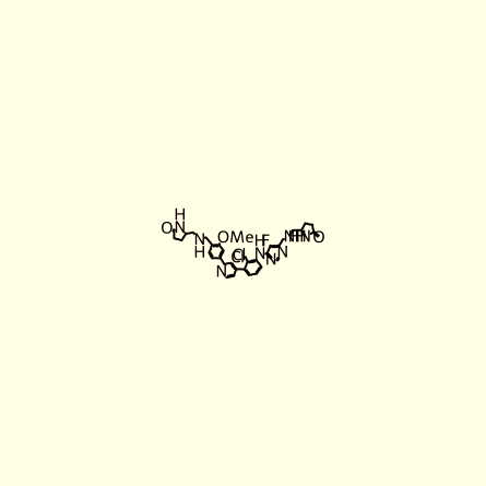 COc1cc(-c2nccc(-c3cccc(Nc4ncnc(CNCC5CCC(=O)N5)c4F)c3Cl)c2Cl)ccc1CNCC1CCC(=O)N1